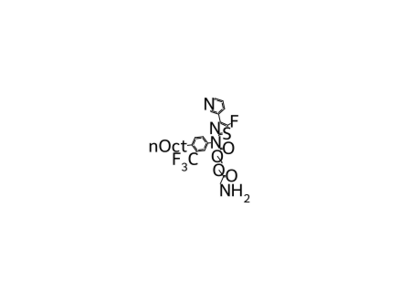 CCCCCCCCc1ccc(N(C(=O)OCOC(=O)CN)c2nc(-c3cccnc3)c(F)s2)cc1C(F)(F)F